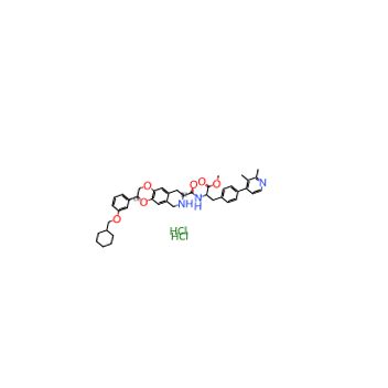 COC(=O)C(Cc1ccc(-c2ccnc(C)c2C)cc1)NC(=O)[C@@H]1Cc2cc3c(cc2CN1)O[C@@H](c1cccc(OCC2CCCCC2)c1)CO3.Cl.Cl